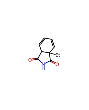 CCC12C=CC=CC1C(=O)NC2=O